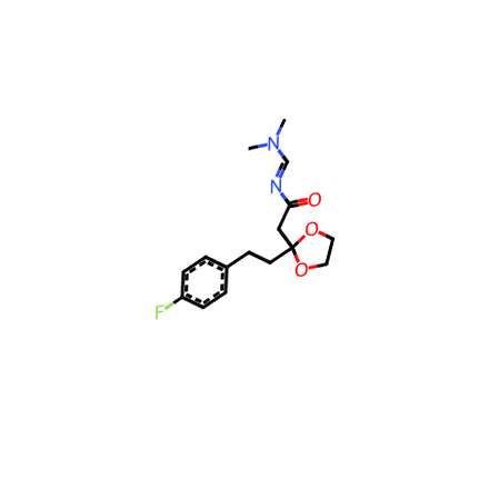 CN(C)/C=N/C(=O)CC1(CCc2ccc(F)cc2)OCCO1